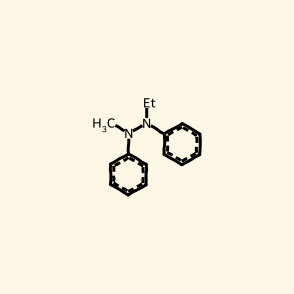 CCN(c1ccccc1)N(C)c1ccccc1